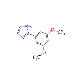 FC(F)(F)Oc1cc(OC(F)(F)F)cc(-c2ncc[nH]2)c1